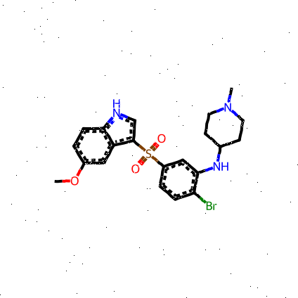 COc1ccc2[nH]cc(S(=O)(=O)c3ccc(Br)c(NC4CCN(C)CC4)c3)c2c1